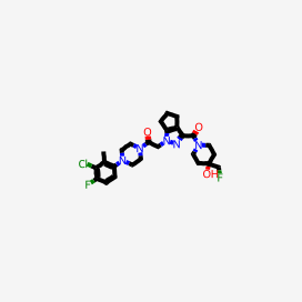 Cc1c(N2CCN(C(=O)Cn3nc(C(=O)N4CCC(O)(CF)CC4)c4c3CCC4)CC2)ccc(F)c1Cl